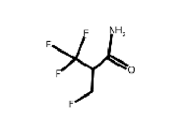 NC(=O)C(CF)C(F)(F)F